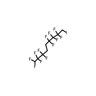 FC(F)C(F)(F)C(F)(F)CCC(F)(F)C(F)(F)C(F)(F)CI